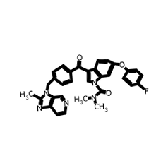 Cc1nc2ccncc2n1Cc1ccc(C(=O)c2cn(C(=O)N(C)C)c3cc(Oc4ccc(F)cc4)ccc23)cc1